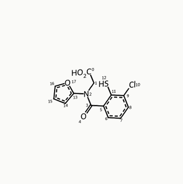 O=C(O)CN(C(=O)c1cccc(Cl)c1S)c1ccco1